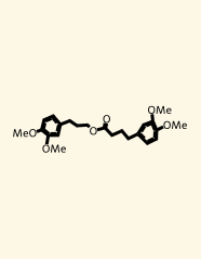 COc1ccc(CCCOC(=O)CCCc2ccc(OC)c(OC)c2)cc1OC